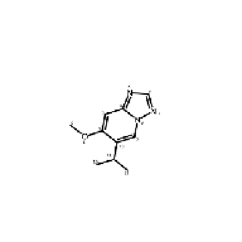 COc1cc2ncnn2cc1C(C)C